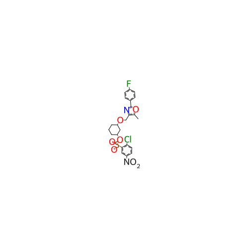 Cc1oc(-c2ccc(F)cc2)nc1COC1CCCC(OS(=O)(=O)c2cc([N+](=O)[O-])ccc2Cl)C1